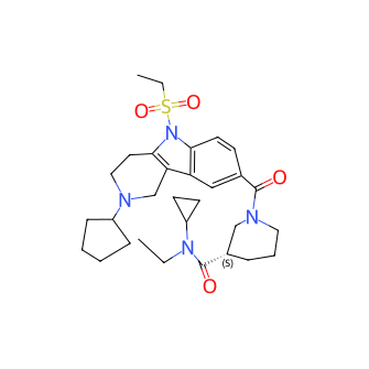 CCN(C(=O)[C@H]1CCCN(C(=O)c2ccc3c(c2)c2c(n3S(=O)(=O)CC)CCN(C3CCCC3)C2)C1)C1CC1